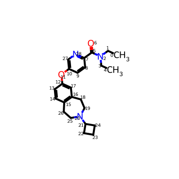 CCN(CC)C(=O)c1ccc(Oc2ccc3c(c2)CCN(C2CCC2)CC3)cn1